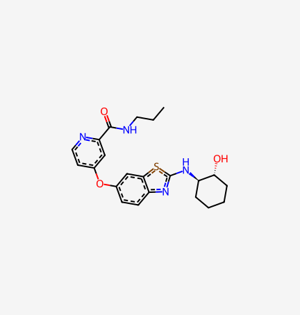 CCCNC(=O)c1cc(Oc2ccc3nc(N[C@@H]4CCCC[C@H]4O)sc3c2)ccn1